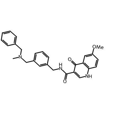 COc1ccc2[nH]cc(C(=O)NCc3cccc(CN(C)Cc4ccccc4)c3)c(=O)c2c1